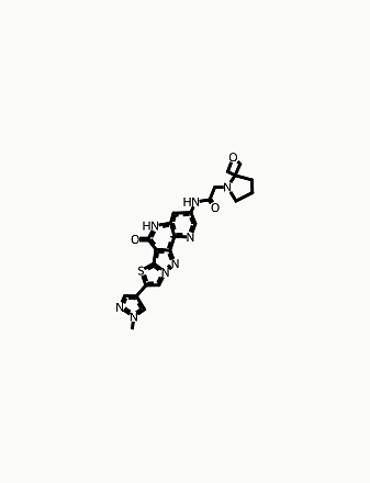 Cn1cc(-c2cn3nc4c5ncc(NC(=O)CN6CCCC67COC7)cc5[nH]c(=O)c4c3s2)cn1